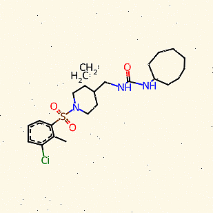 Cc1c(Cl)cccc1S(=O)(=O)N1CCC(CNC(=O)N[C]2CCCCCCC2)CC1.[CH2].[CH2]